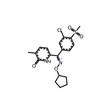 Cc1ccc(/C(=N\OC2CCCC2)c2ccc(S(C)(=O)=O)c(Cl)c2)[nH]c1=O